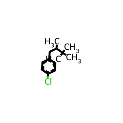 CC(Cc1ccc(Cl)cc1)C(C)(C)C